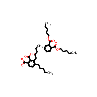 CCCCCOC(=O)c1ccccc1C(=O)OCCCCC.CCCCCc1ccc(C(=O)O)c(C(=O)O)c1CCCCC